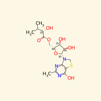 Cc1nc(O)c2c(n1)N([C@@H]1O[C@H](COC(=O)[C@@H](O)C(C)C)[C@@H](O)[C@H]1O)CS2